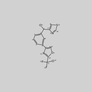 [O]C(c1cccc(-c2noc(C(F)(F)Cl)n2)c1)c1cscn1